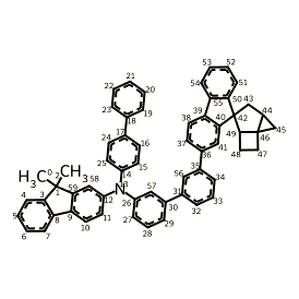 CC1(C)c2ccccc2-c2ccc(N(c3ccc(-c4ccccc4)cc3)c3cccc(-c4cccc(-c5ccc6c(c5)C5(CC7CC78CCC58)c5ccccc5-6)c4)c3)cc21